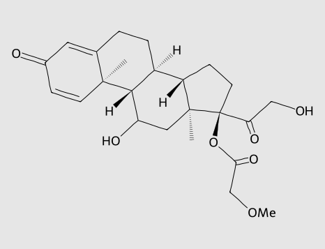 COCC(=O)O[C@]1(C(=O)CO)CC[C@H]2[C@@H]3CCC4=CC(=O)C=C[C@]4(C)[C@H]3C(O)C[C@@]21C